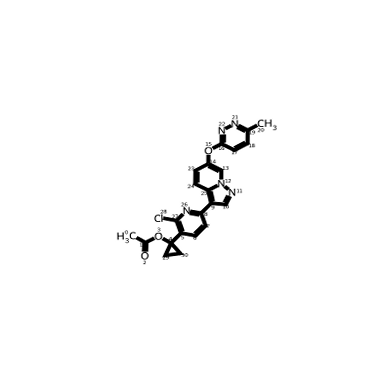 CC(=O)OC1(c2ccc(-c3cnn4cc(Oc5ccc(C)nn5)ccc34)nc2Cl)CC1